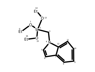 CCO[Si](Cn1ccc2ccccc21)(OCC)OCC